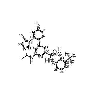 CCNc1cc(-c2ccc(F)cc2-c2nncn2C)cc(C(=O)Nc2cccc(C(F)(F)F)c2O)n1